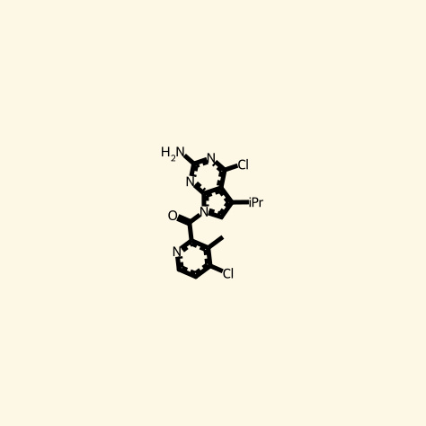 Cc1c(Cl)ccnc1C(=O)n1cc(C(C)C)c2c(Cl)nc(N)nc21